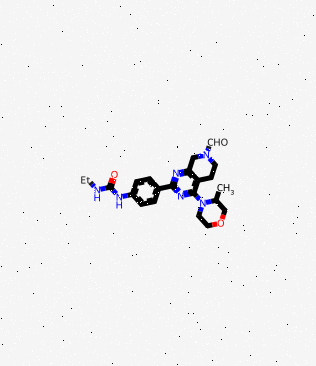 CCNC(=O)Nc1ccc(-c2nc3c(c(N4CCOCC4C)n2)CCN(C=O)C3)cc1